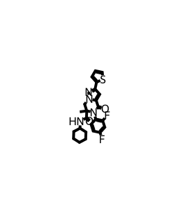 CC1(C(=O)NC2CCCCC2)Cn2nc(-c3cccs3)cc2C(=O)N1c1ccc(F)cc1F